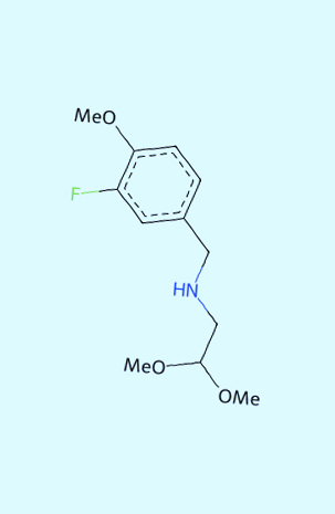 COc1ccc(CNCC(OC)OC)cc1F